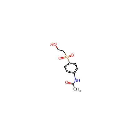 CC(=O)Nc1ccc(S(=O)(=O)CCO)cc1